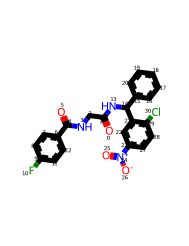 O=C(CNC(=O)c1ccc(F)cc1)NC(c1ccccc1)c1cc([N+](=O)[O-])ccc1Cl